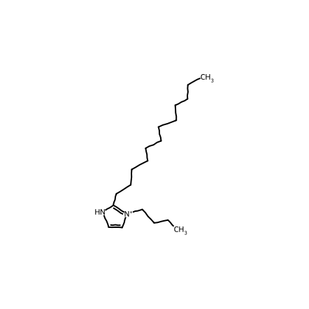 CCCCCCCCCCCCc1[nH]cc[n+]1CCCC